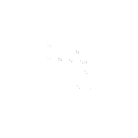 CC(=O)N(C)c1ccc(Nc2ncc3c(C)c(Br)c(=O)n(C4CCCC4)c3n2)nc1